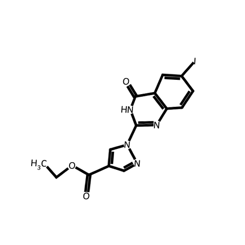 CCOC(=O)c1cnn(-c2nc3ccc(I)cc3c(=O)[nH]2)c1